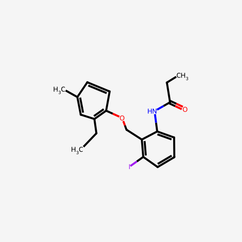 CCC(=O)Nc1cccc(I)c1COc1ccc(C)cc1CC